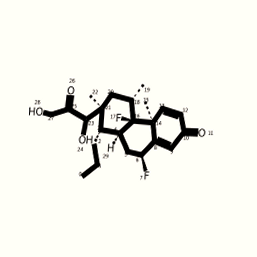 CCC[C@H]1[C@@H]2C[C@H](F)C3=CC(=O)C=C[C@]3(C)[C@@]2(F)[C@@H](C)C[C@]1(C)C(O)C(=O)CO